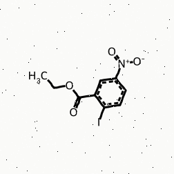 CCOC(=O)c1cc([N+](=O)[O-])ccc1I